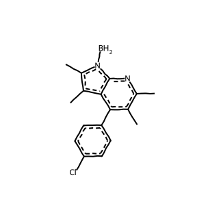 Bn1c(C)c(C)c2c(-c3ccc(Cl)cc3)c(C)c(C)nc21